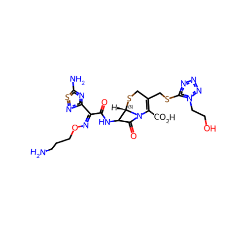 NCCCON=C(C(=O)NC1C(=O)N2C(C(=O)O)=C(CSc3nnnn3CCO)CS[C@@H]12)c1nsc(N)n1